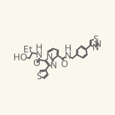 CC[C@@H](CO)NC(=O)c1c(-c2ccsc2)nc2c(C(=O)NCc3ccc(-c4csnn4)cc3)cccn12